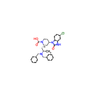 CC(C[C@H]1CC(n2c(=O)[nH]c3cc(Cl)ccc32)CCN1C(=O)O)N(Cc1ccccc1)Cc1ccccc1